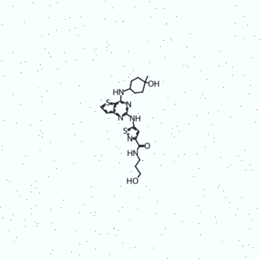 CC1(O)CCC(Nc2nc(Nc3cc(C(=O)NCCCO)ns3)nc3ccsc23)CC1